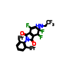 CC(C)c1cccc(C(C)C)c1N1C(=O)C2=C(C1=O)C(F)C(F)(NCC(F)(F)F)C=C2F